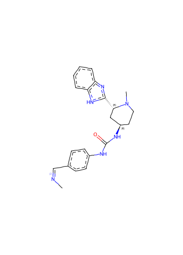 C/N=C\c1ccc(NC(=O)N[C@@H]2CCN(C)[C@@H](c3nc4ccccc4[nH]3)C2)cc1